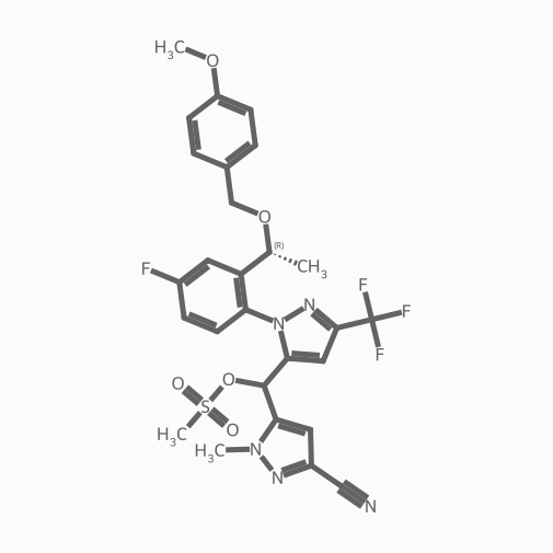 COc1ccc(CO[C@H](C)c2cc(F)ccc2-n2nc(C(F)(F)F)cc2C(OS(C)(=O)=O)c2cc(C#N)nn2C)cc1